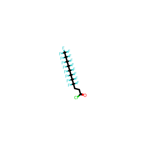 O=C(Cl)CCC(F)(F)C(F)(F)C(F)(F)C(F)(F)C(F)(F)C(F)(F)C(F)(F)C(F)(F)F